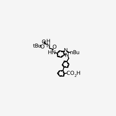 CCCCc1nc2cc(NC(=O)CNC(=O)OC(C)(C)C)ccc2n1Cc1ccc(-c2ccccc2C(=O)O)cc1